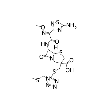 CON=C(C(=O)NC1C(=O)N2CC(CSc3nnnn3CSC)(C(=O)O)CS[C@H]12)c1nsc(N)n1